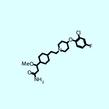 COC(CC(N)=O)C1CCC(CCN2CCC(Oc3ccc(F)cc3Cl)CC2)CC1